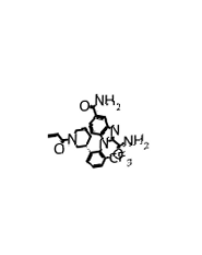 C=CC(=O)N1CCC[C@H](c2cccc(C(F)(F)F)c2-n2c(C(N)=O)nc3cc(C(N)=O)ccc32)C1